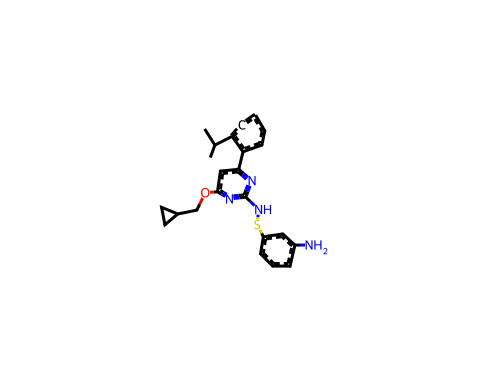 CC(C)c1ccccc1-c1cc(OCC2CC2)nc(NSc2cccc(N)c2)n1